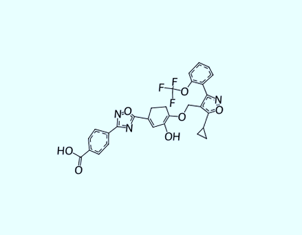 O=C(O)c1ccc(-c2noc(C3=CC(O)=C(OCc4c(-c5ccccc5OC(F)(F)F)noc4C4CC4)CC3)n2)cc1